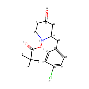 CC(C)(C)C(=O)ON1CCC(=O)CC1Cc1ccc(Cl)cc1